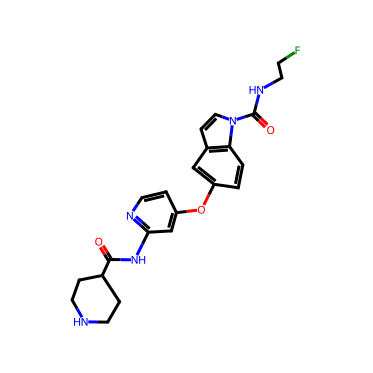 O=C(Nc1cc(Oc2ccc3c(ccn3C(=O)NCCF)c2)ccn1)C1CCNCC1